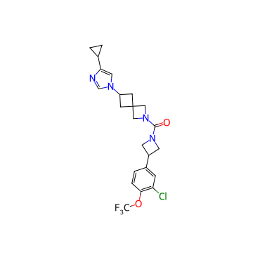 O=C(N1CC(c2ccc(OC(F)(F)F)c(Cl)c2)C1)N1CC2(CC(n3cnc(C4CC4)c3)C2)C1